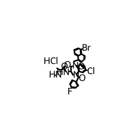 CNC(C)C(=O)NC1CN(C(=O)c2ccc(F)cc2)c2cc(Cl)ccc2N(Cc2c(OC)ccc3c(Br)cccc23)C1=O.Cl